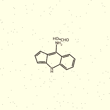 Nc1c2cccc-2[nH]c2ccccc12.O=CO